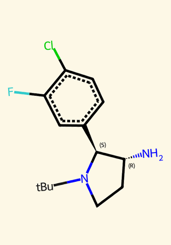 CC(C)(C)N1CC[C@@H](N)[C@@H]1c1ccc(Cl)c(F)c1